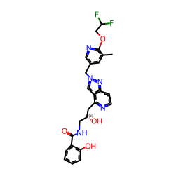 Cc1cc(Cn2cc3c(C[C@H](O)CNC(=O)c4ccccc4O)nccc3n2)cnc1OCC(F)F